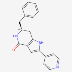 O=C1N[C@@H](Cc2ccccc2)Cc2[nH]c(-c3ccncc3)cc21